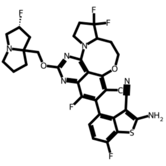 N#Cc1c(N)sc2c(F)ccc(-c3c(Cl)c4c5c(nc(OCC67CCCN6C[C@H](F)C7)nc5c3F)N3CCC(F)(F)C3CCO4)c12